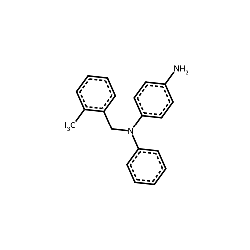 Cc1ccccc1CN(c1ccccc1)c1ccc(N)cc1